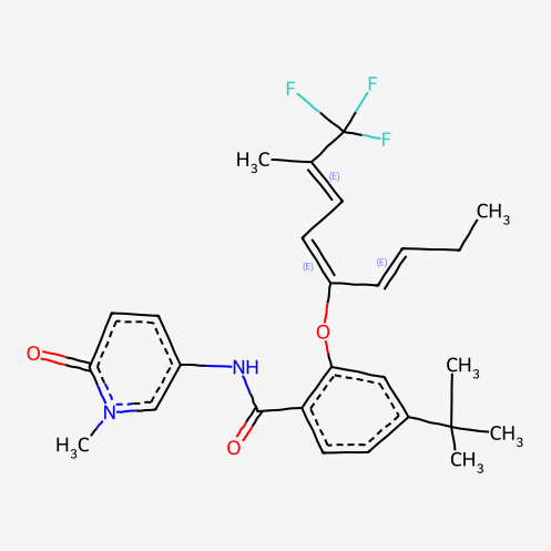 CC/C=C/C(=C\C=C(/C)C(F)(F)F)Oc1cc(C(C)(C)C)ccc1C(=O)Nc1ccc(=O)n(C)c1